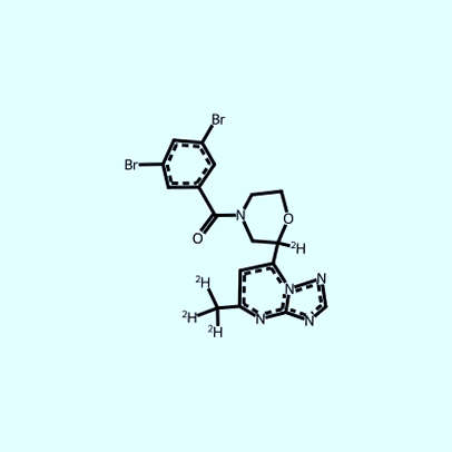 [2H]C([2H])([2H])c1cc(C2([2H])CN(C(=O)c3cc(Br)cc(Br)c3)CCO2)n2ncnc2n1